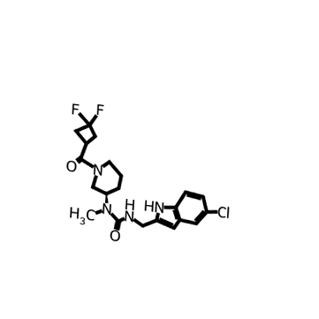 CN(C(=O)NCc1cc2cc(Cl)ccc2[nH]1)[C@@H]1CCCN(C(=O)C2CC(F)(F)C2)C1